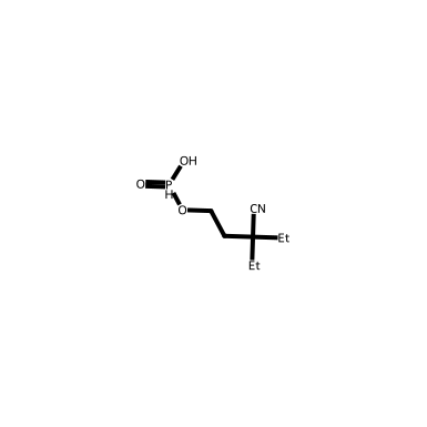 CCC(C#N)(CC)CCO[PH](=O)O